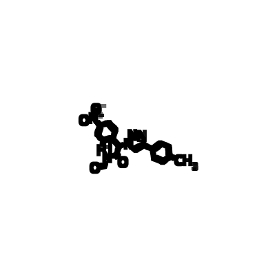 Cc1ccc(-c2cn(C(C(=O)NC=O)c3ccc([N+](=O)[O-])cc3F)nn2)cc1